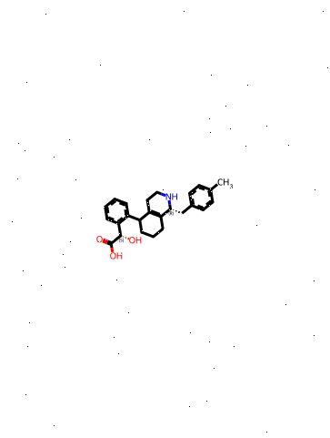 Cc1ccc(C[C@H]2NCCC3=C2CCCC3c2ccccc2[C@H](O)C(=O)O)cc1